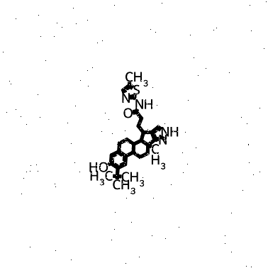 Cc1cnc(NC(=O)CCC2c3c[nH]nc3C3(C)CCC4c5cc(C(C)(C)C)c(O)cc5CCC4C23)s1